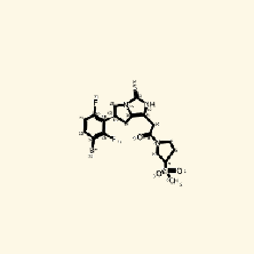 CS(=O)(=O)C1CCN(C(=O)Cc2[nH]c(=S)n3c2C[C@@H](c2c(F)ccc(Br)c2F)C3)C1